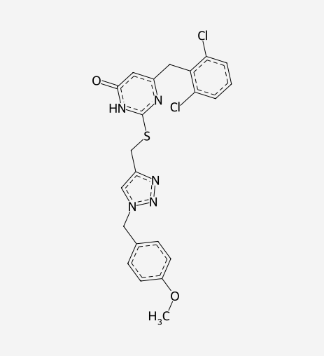 COc1ccc(Cn2cc(CSc3nc(Cc4c(Cl)cccc4Cl)cc(=O)[nH]3)nn2)cc1